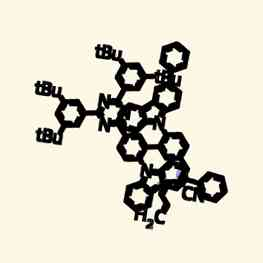 C=C/C=C\C(C#N)=C/c1ccc(-n2c3ccccc3c3cc(-c4ccccc4)ccc32)c(-c2cc(-c3nc(-c4cc(C(C)(C)C)cc(C(C)(C)C)c4)nc(-c4cc(C(C)(C)C)cc(C(C)(C)C)c4)n3)ccc2-n2c3ccccc3c3cc(-c4ccccc4)ccc32)c1